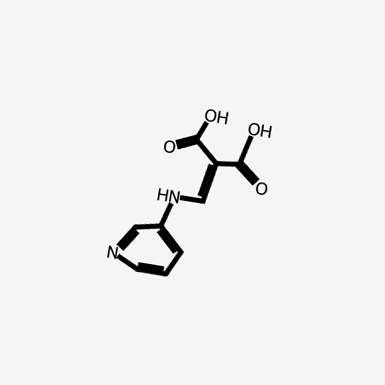 O=C(O)C(=CNc1cccnc1)C(=O)O